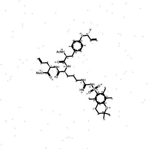 C=CC[C@@H](NC(=O)[C@H](CCCNC(=N)NS(=O)(=O)c1c(C)c(C)c2c(c1C)CCC(C)(C)O2)NC(=O)[C@H](Cc1ccc(O[C@H](C)C=C)cc1)NC(C)=O)C(=O)OC